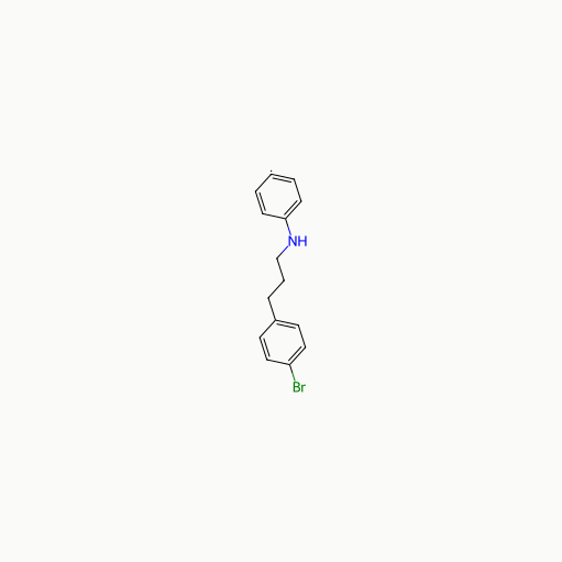 Brc1ccc(CCCNc2cc[c]cc2)cc1